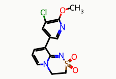 COc1ncc(C2=CC=CN3CCS(=O)(=O)N=C23)cc1Cl